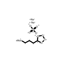 CCCCCCCCCCCCC1OOOO1.O=S(=O)([O-])[O-].[Na+].[Na+]